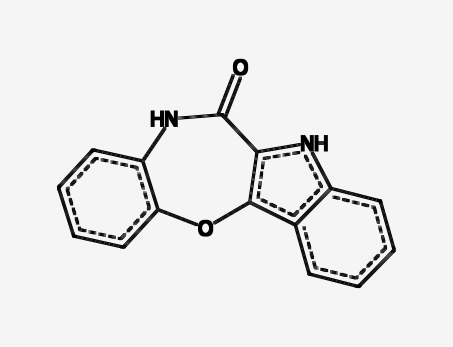 O=C1Nc2ccccc2Oc2c1[nH]c1ccccc21